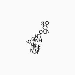 CCOc1cn(-c2nccnc2C(F)(F)F)nc1C(=O)Nc1ccc(Oc2ccnc3cc(OC)c(OC)cc23)cn1